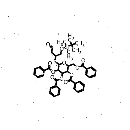 CC(C)(C)[Si](C)(C)OCC(CC=O)SC1OC(COC(=O)c2ccccc2)C(OC(=O)c2ccccc2)C(OC(=O)c2ccccc2)C1OC(=O)c1ccccc1